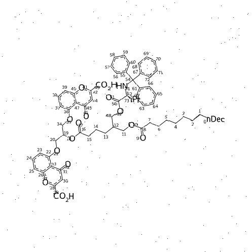 CCCCCCCCCCCCCCCCCC(=O)OCC(CCCC(=O)OC(COc1cccc2oc(C(=O)O)cc(=O)c12)COc1cccc2oc(C(=O)O)cc(=O)c12)COC(=O)[C@@H](NC(c1ccccc1)(c1ccccc1)c1ccccc1)C(C)C